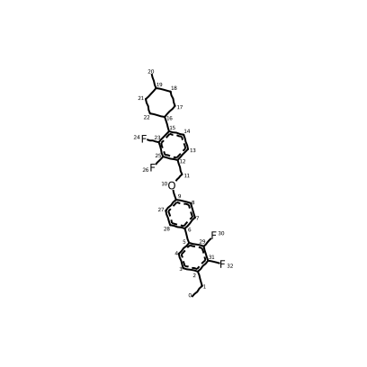 CCc1ccc(-c2ccc(OCc3ccc(C4CCC(C)CC4)c(F)c3F)cc2)c(F)c1F